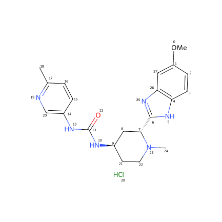 COc1ccc2[nH]c([C@H]3C[C@H](NC(=O)Nc4ccc(C)nc4)CCN3C)nc2c1.Cl